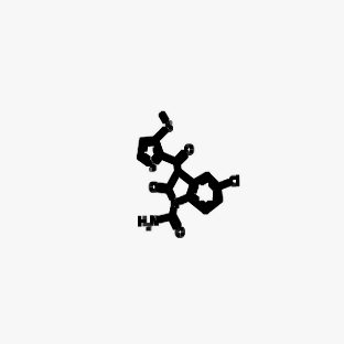 CSc1ccsc1C(=O)C1C(=O)N(C(N)=O)c2ccc(Cl)cc21